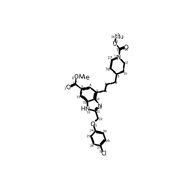 COC(=O)c1cc(CCCC2CCN(C(=O)OC(C)(C)C)CC2)c2nc(COc3ccc(Cl)cc3)[nH]c2c1